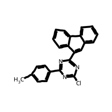 Cc1ccc(-c2nc(Cl)nc(-c3cc4ccccc4c4ccccc34)n2)cc1